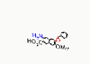 COc1cc2cc(C(=O)O)c(N)cc2cc1OCc1ccccc1